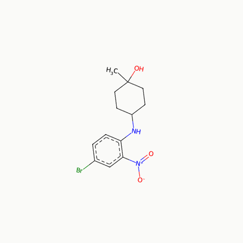 CC1(O)CCC(Nc2ccc(Br)cc2[N+](=O)[O-])CC1